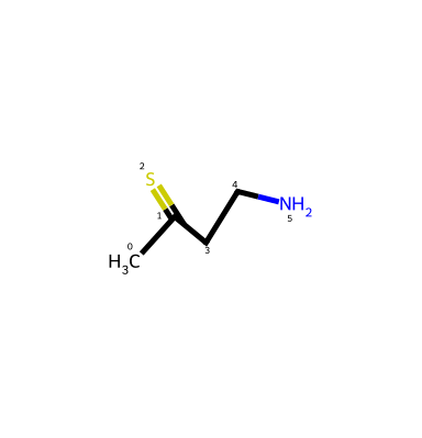 CC(=S)CCN